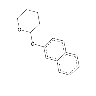 c1ccc2cc(OC3CCCCO3)ccc2c1